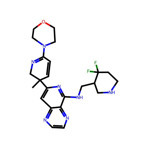 CC1(c2cc3nccnc3c(NCC3CNCCC3(F)F)n2)C=CC(N2CCOCC2)=NC1